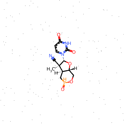 C[C@@]1(C#N)[C@@H]2C[PH](=O)OC[C@H]2O[C@H]1n1ccc(=O)[nH]c1=O